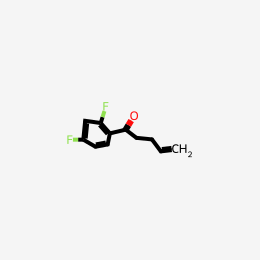 C=CCCC(=O)c1ccc(F)cc1F